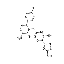 CCCCc1nnc(C(=O)[C@@H](NC(=O)Cn2c(-c3ccc(F)cc3)ncc(N)c2=O)C(C)C)o1